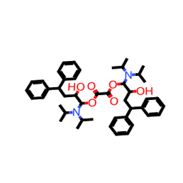 CC(C)N(C(C)C)C(OC(=O)C(=O)OC(C(O)CC(c1ccccc1)c1ccccc1)N(C(C)C)C(C)C)C(O)CC(c1ccccc1)c1ccccc1